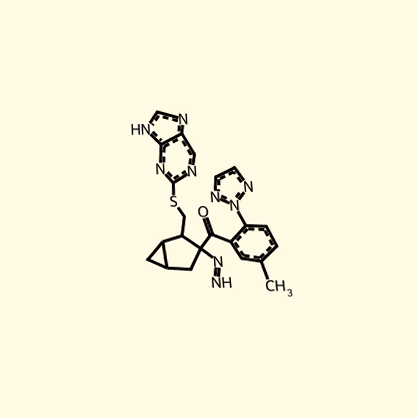 Cc1ccc(-n2nccn2)c(C(=O)C2(N=N)CC3CC3C2CSc2ncc3nc[nH]c3n2)c1